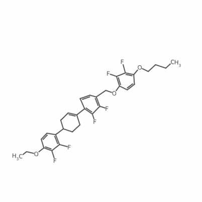 CCCCOc1ccc(OCc2ccc(C3=CCC(c4ccc(OCC)c(F)c4F)CC3)c(F)c2F)c(F)c1F